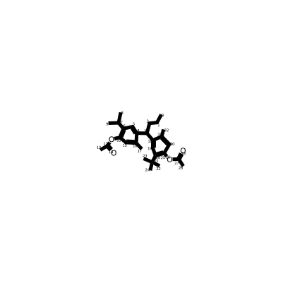 CCCC(c1cc(C(C)C)c(OC(C)=O)cc1C)c1cc(C(C)(C)C)c(OC(C)=O)cc1C